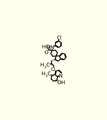 C[C@@H](COc1ccnc2c1[C@@H](C)CC[C@H]2O)C[C@H]1Cc2ccccc2C12CCC(Nc1cccc(Cl)c1)(C(=O)O)CC2